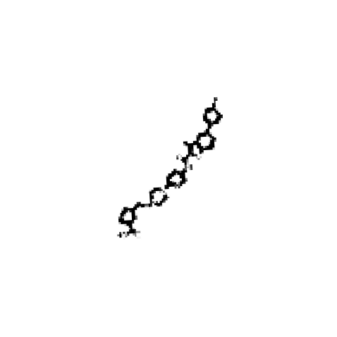 Cc1c(C(=O)Nc2ccc(N3CCN(OCc4cccc(C(=O)O)c4)CC3)nc2)oc2ccc(-c3ccc(F)cc3)cc12